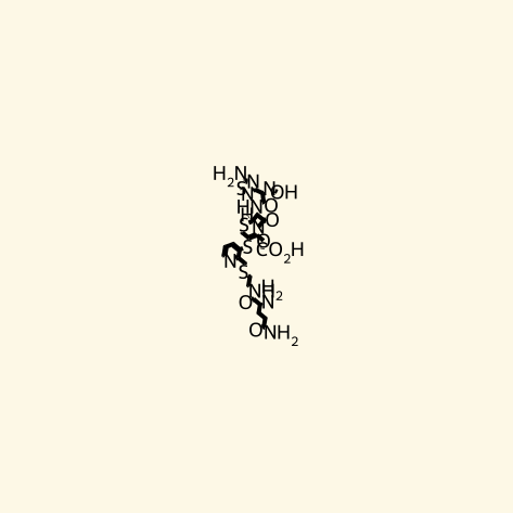 NC(=O)CC[C@H](N)C(=O)NCCSCc1ncccc1SC1=C(OC(=O)O)N2C(=O)[C@@H](NC(=O)/C(=N\O)c3nsc(N)n3)[C@@H]2SC1